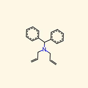 C=CCN(CC=C)C(c1ccccc1)c1ccccc1